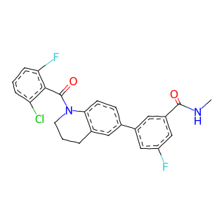 CNC(=O)c1cc(F)cc(-c2ccc3c(c2)CCCN3C(=O)c2c(F)cccc2Cl)c1